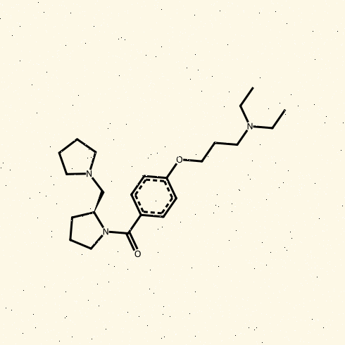 CCN(CC)CCCOc1ccc(C(=O)N2CCC[C@H]2CN2CCCC2)cc1